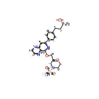 CC[C@@H](O)CCc1ccc(-c2cc3nccnc3c(OCC3CN(S(N)(=O)=O)CCO3)n2)cc1